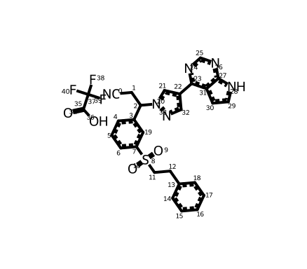 N#CCC(c1cccc(S(=O)(=O)CCc2ccccc2)c1)n1cc(-c2ncnc3[nH]ccc23)cn1.O=C(O)C(F)(F)F